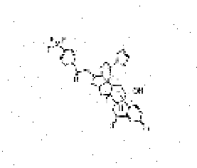 C[C@@H]1C[C@H]2[C@@H]3C[C@H](F)C4=CC(=O)C=C[C@]4(C)[C@@]3(F)[C@@H](O)C[C@]2(C)[C@@]1(OC(=O)c1cccs1)C(=O)SCC(=O)c1ccc(C(F)(F)F)cc1